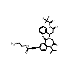 CC(C)N1C(=O)CN(C(CC(=O)OC(=O)C(F)(F)F)c2ccccc2)C(=O)c2cc(C#CC(=O)NCCN)ccc21